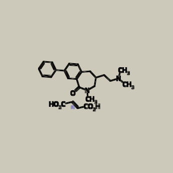 CN(C)CCC1Cc2ccc(-c3ccccc3)cc2C(=O)N(C)C1.O=C(O)/C=C/C(=O)O